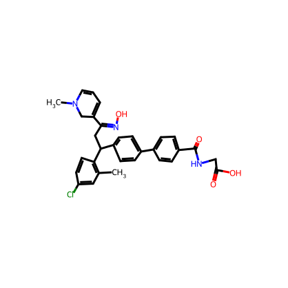 Cc1cc(Cl)ccc1C(CC(=NO)C1=CC=CN(C)C1)c1ccc(-c2ccc(C(=O)NCC(=O)O)cc2)cc1